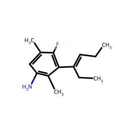 CC/C=C(\CC)c1c(C)c(N)cc(C)c1F